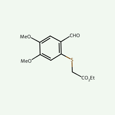 CCOC(=O)CSc1cc(OC)c(OC)cc1C=O